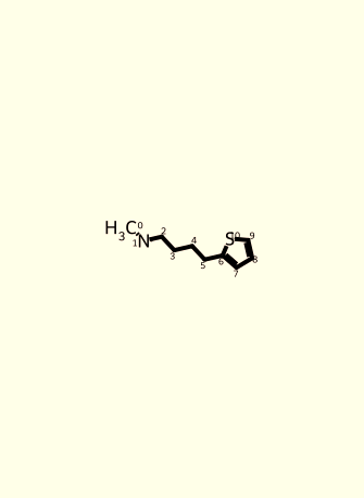 C[N]CCCCc1cccs1